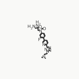 CN(C)CCn1nnc(-c2ccc(-c3ccc(N4C[C@](N)(CN)OC4=O)cc3F)cn2)n1